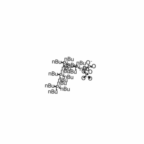 CCCC[P+](CCCC)(CCCC)CCCC.CCCC[P+](CCCC)(CCCC)CCCC.CCCC[P+](CCCC)(CCCC)CCCC.CCCC[P+](CCCC)(CCCC)CCCC.O=P([O-])([O-])OP(=O)([O-])[O-]